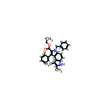 CCOC(=O)c1c(-c2ccccc2F)c2c3c(C)c(C)[nH]c3ccc2n1Cc1ccccc1